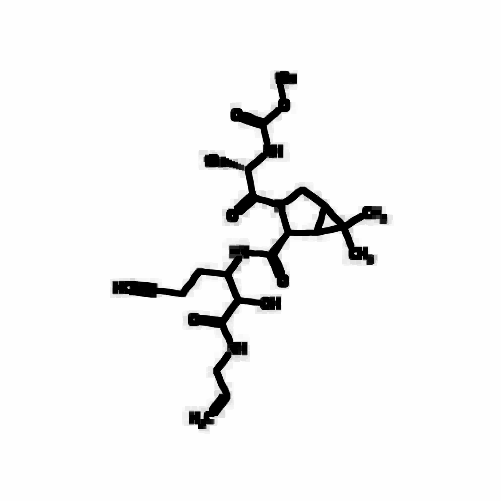 C#CCCC(NC(=O)[C@@H]1C2C(CN1C(=O)[C@@H](NC(=O)OC(C)(C)C)C(C)(C)C)C2(C)C)C(O)C(=O)NCC=C